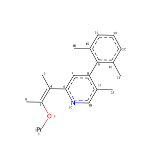 C/C(OC(C)C)=C(\C)c1cc(-c2c(C)cccc2C)c(C)cn1